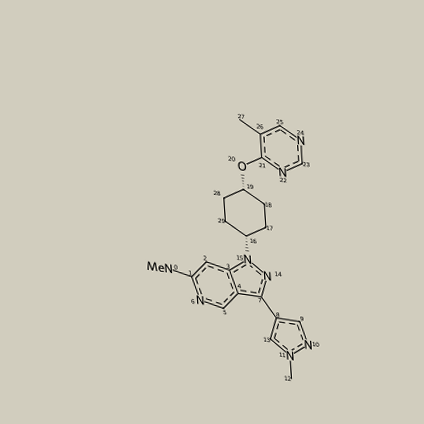 CNc1cc2c(cn1)c(-c1cnn(C)c1)nn2[C@H]1CC[C@@H](Oc2ncncc2C)CC1